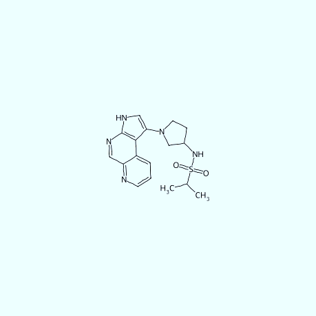 CC(C)S(=O)(=O)NC1CCN(c2c[nH]c3ncc4ncccc4c23)C1